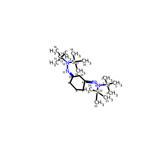 C[Si](C)(C)N(N=C1CCCC(=NN([Si](C)(C)C)[Si](C)(C)C)C1)[Si](C)(C)C